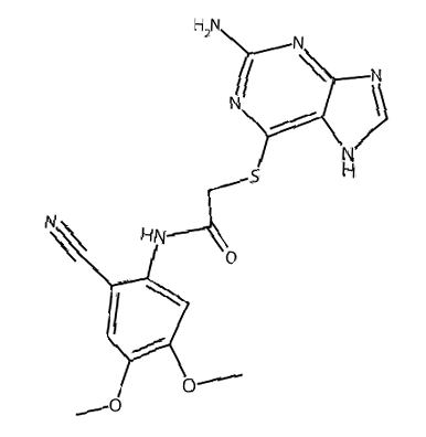 COc1cc(C#N)c(NC(=O)CSc2nc(N)nc3nc[nH]c23)cc1OC